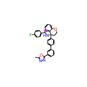 Cc1nnc(-c2cccc(-c3ccc([C@@]4(NC(=O)c5ccc(F)cc5)CCOc5cccnc54)cc3)c2)o1